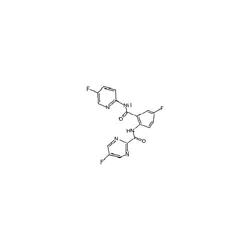 O=C(Nc1ccc(F)cc1C(=O)Nc1ccc(F)cn1)c1ncc(F)cn1